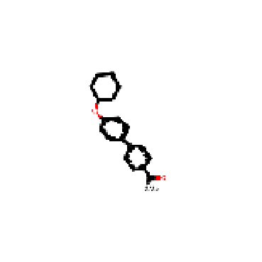 COC(=O)c1ccc(-c2ccc(OC3CCCCC3)cc2)cc1